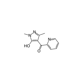 Cc1nn(C)c(O)c1C(=O)c1ccccn1